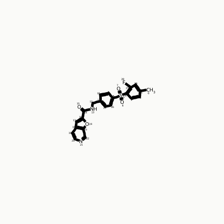 Cc1ccc(S(=O)(=O)c2ccc(CNC(=O)c3cc4ccncc4o3)cc2)c(F)c1